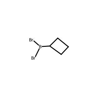 BrB(Br)C1CCC1